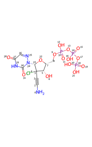 NC#CC1(Cl)[C@@H](O)[C@@H](COP(=O)(O)OP(=O)(O)OP(=O)(O)O)O[C@H]1n1ncc(=O)[nH]c1=O